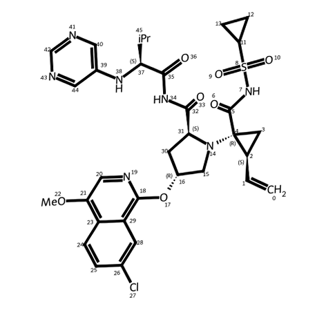 C=C[C@@H]1C[C@@]1(C(=O)NS(=O)(=O)C1CC1)N1C[C@H](Oc2ncc(OC)c3ccc(Cl)cc23)C[C@H]1C(=O)NC(=O)[C@@H](Nc1cncnc1)C(C)C